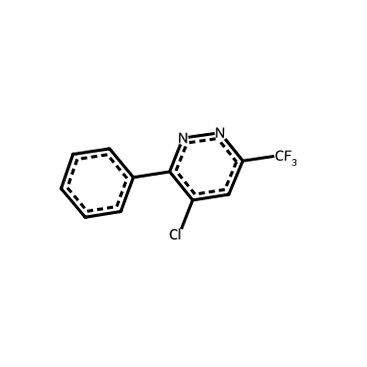 FC(F)(F)c1cc(Cl)c(-c2ccccc2)nn1